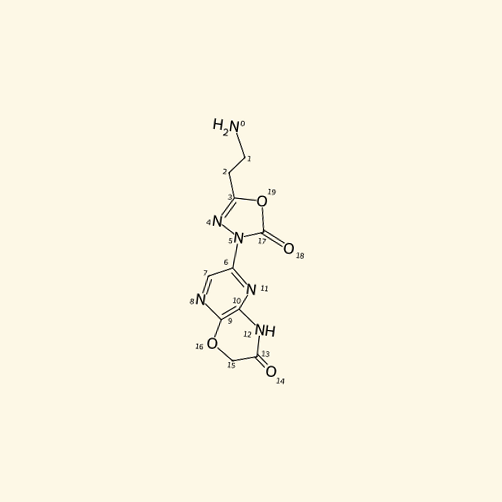 NCCc1nn(-c2cnc3c(n2)NC(=O)CO3)c(=O)o1